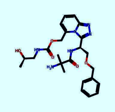 C[C@@H](O)CNC(=O)OCc1cccc2nnc([C@@H](COCc3ccccc3)NC(=O)C(C)(C)N)n12